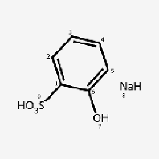 O=S(=O)(O)c1ccccc1O.[NaH]